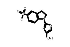 CCCCCCCCc1csc(N2CCc3cc(S(=O)(=O)Cl)ccc32)n1